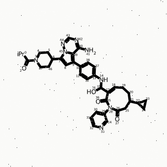 CC(C)C(=O)N1CCC(c2cc(-c3ccc(NC(O)/C4=C/CCC(C5CC5)CC(=O)N(c5cccnc5)C4=O)cc3)c3c(N)ncnn23)CC1